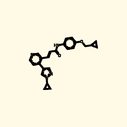 O=C(C=Cc1cnccc1-c1cnn(C2CC2)c1)Nc1ccc(OCC2CC2)cc1